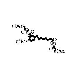 CCCCCCCCCCCC(=O)OOC(=O)CCCCCCCC1C=CC(CCCCCC)C(C)(C(=O)OOC(=O)CCCCCCCCCCC)C1